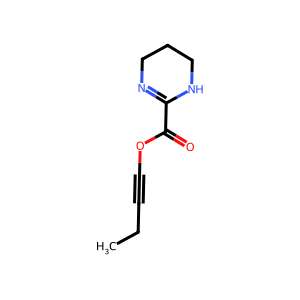 CCC#COC(=O)C1=NCCCN1